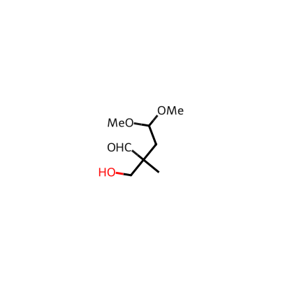 COC(CC(C)(C=O)CO)OC